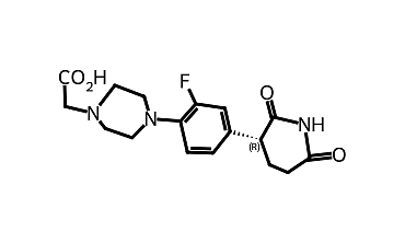 O=C(O)CN1CCN(c2ccc([C@H]3CCC(=O)NC3=O)cc2F)CC1